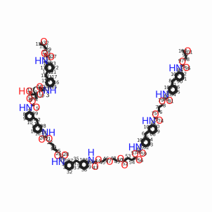 CC(COC(=O)Nc1cccc(Cc2cccc(NC(=O)OCCCCOC(=O)Nc3cccc(Cc4cccc(NC(=O)OCCOCCOC(=O)CCC(=O)OC(=O)Nc5cccc(Cc6cccc(NC(=O)OCCCOC(=O)Nc7cccc(Cc8cccc(NC(=O)OCC9CO9)c8)c7)c6)c5)c4)c3)c2)c1)(OC(=O)Nc1cccc(Cc2cccc(NC(=O)OCC3CO3)c2)c1)C(=O)O